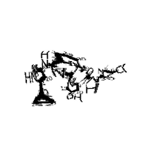 O=C(Nc1ncc(Cl)s1)[C@@H]1C[C@H](O)CN1c1nc(Nc2cc(C3CC3)[nH]n2)c2cccn2n1